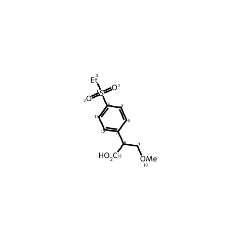 CCS(=O)(=O)c1ccc(C(COC)C(=O)O)cc1